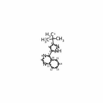 CC(C)(C)c1cc(-c2ncnc3ccccc23)[nH]n1